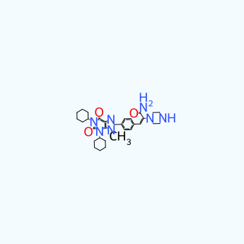 Cn1c(-c2ccc(/C=C(\C(N)=O)N3CCNCC3)cc2)nc2c(=O)n(C3CCCCC3)c(=O)n(C3CCCCC3)c21